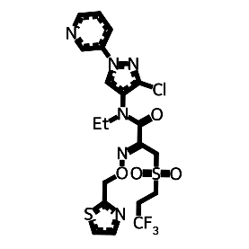 CCN(C(=O)C(CS(=O)(=O)CCC(F)(F)F)=NOCc1nccs1)c1cn(-c2cccnc2)nc1Cl